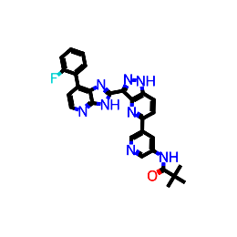 CC(C)(C)C(=O)Nc1cncc(-c2ccc3[nH]nc(-c4nc5c(-c6ccccc6F)ccnc5[nH]4)c3n2)c1